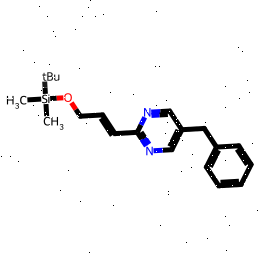 CC(C)(C)[Si](C)(C)OCC=Cc1ncc(Cc2ccccc2)cn1